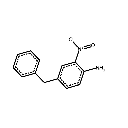 Nc1ccc(Cc2ccccc2)cc1[N+](=O)[O-]